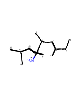 CCC(C)CC(C)C(C)(N)CC(C)C